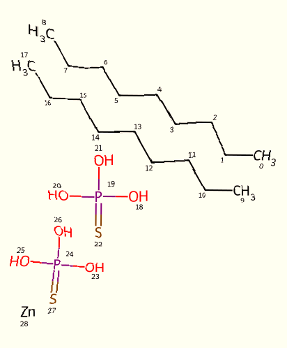 CCCCCCCCC.CCCCCCCCC.OP(O)(O)=S.OP(O)(O)=S.[Zn]